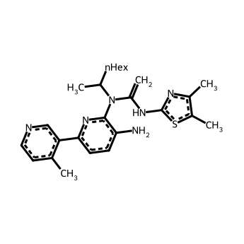 C=C(Nc1nc(C)c(C)s1)N(c1nc(-c2cnccc2C)ccc1N)C(C)CCCCCC